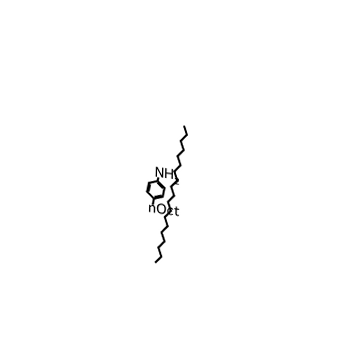 CCCCCCCCCCCCCCCCCCC.CCCCCCCCc1ccc(N)cc1